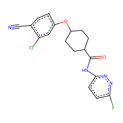 N#Cc1ccc(OC2CCC(C(=O)Nc3ccc(F)nn3)CC2)cc1Cl